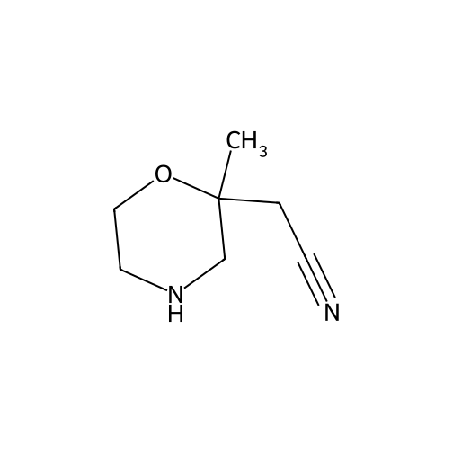 CC1(CC#N)CNCCO1